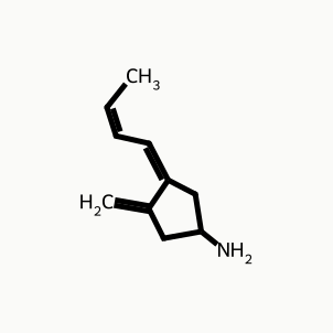 C=C1CC(N)C/C1=C/C=C\C